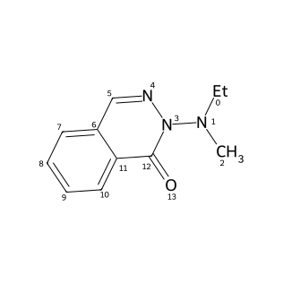 CCN(C)n1ncc2ccccc2c1=O